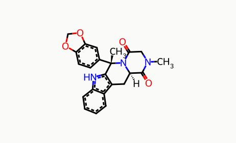 CN1CC(=O)N2[C@H](Cc3c([nH]c4ccccc34)[C@]2(C)c2ccc3c(c2)OCO3)C1=O